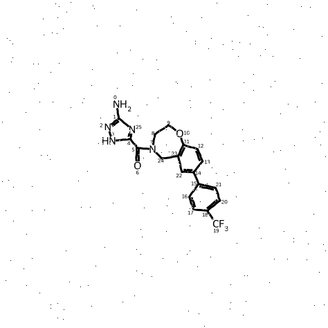 Nc1n[nH]c(C(=O)N2CCOc3ccc(-c4ccc(C(F)(F)F)cc4)cc3C2)n1